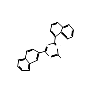 Cc1nc(-c2ccc3ccccc3c2)nc(-c2cccc3ccccc23)n1